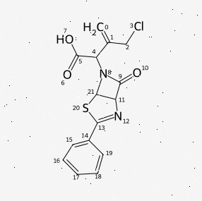 C=C(CCl)C(C(=O)O)N1C(=O)C2N=C(c3ccccc3)SC21